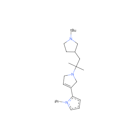 CC(C)n1cccc1C1=CCN(C(C)(C)CC2CCN(C(C)(C)C)C2)C1